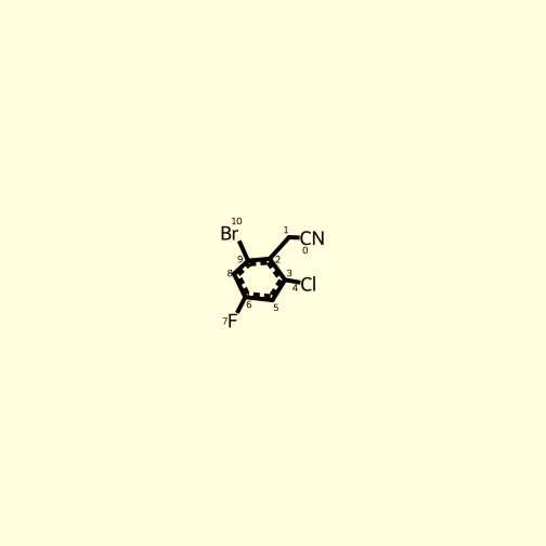 N#CCc1c(Cl)cc(F)cc1Br